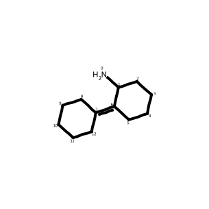 NC1CCCCC1=C1CCCCC1